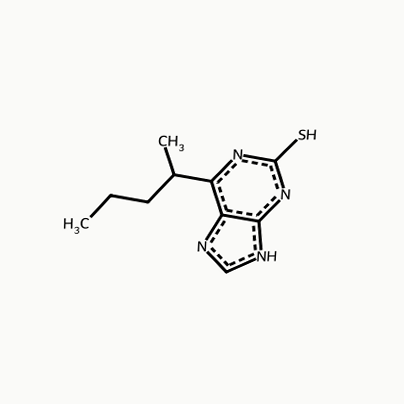 CCCC(C)c1nc(S)nc2[nH]cnc12